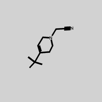 CC(C)(C)C1=CCN(CC#N)CC1